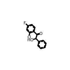 O=C(c1ccc(F)cc1Cl)C(O)c1ccccc1